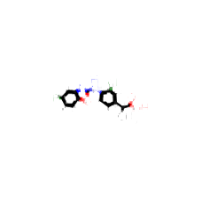 CC(C(=O)O)c1ccc(Nc2nc3cc(F)ccc3o2)c(Cl)c1